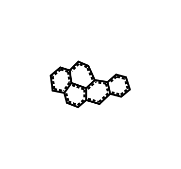 [c]1ccc2ccc3cc4ccccc4c4ccc1c2c34